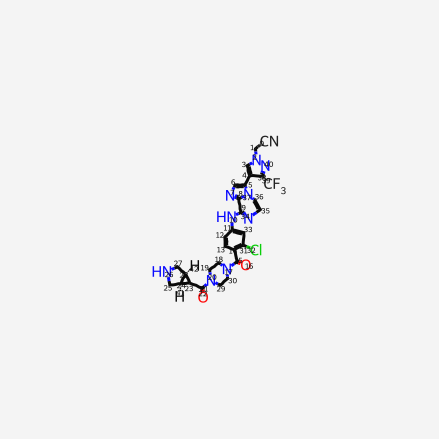 N#CCn1cc(-c2cnc3c(Nc4ccc(C(=O)N5CCN(C(=O)C6[C@H]7CNC[C@@H]67)CC5)c(Cl)c4)nccn23)c(C(F)(F)F)n1